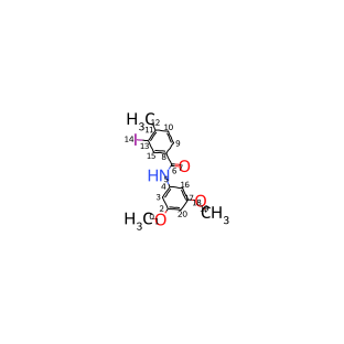 COc1cc(NC(=O)c2ccc(C)c(I)c2)cc(OC)c1